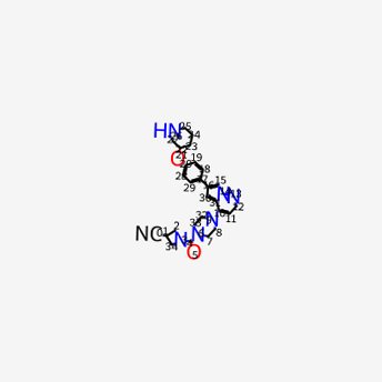 N#CC1CN(C(=O)N2CCN(c3ccnn4cc(-c5ccc(OC6CCCNC6)cc5)cc34)CC2)C1